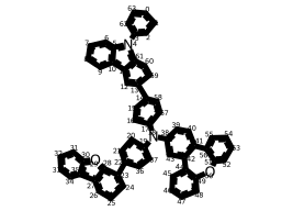 c1ccc(-n2c3ccccc3c3cc(-c4ccc(N(c5ccc(-c6cccc7c6oc6ccccc67)cc5)c5ccc6c(c5)-c5ccccc5Oc5ccccc5-6)cc4)ccc32)cc1